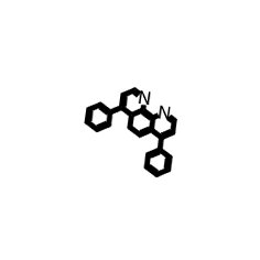 C1=NC2=c3nccc(-c4ccccc4)c3=CCC2C(c2ccccc2)=C1